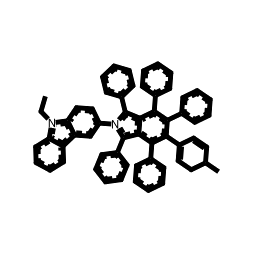 CCn1c2ccccc2c2cc(-n3c(-c4ccccc4)c4c(-c5ccccc5)c(C5=CCC(C)C=C5)c(-c5ccccc5)c(-c5ccccc5)c4c3-c3ccccc3)ccc21